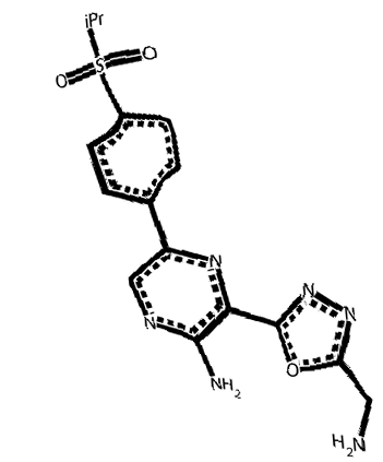 CC(C)S(=O)(=O)c1ccc(-c2cnc(N)c(-c3nnc(CN)o3)n2)cc1